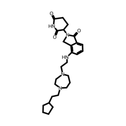 O=C1CCC(N2Cc3c(NCCN4CCCN(CCC5CCCC5)CC4)cccc3C2=O)C(=O)N1